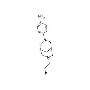 Nc1ccc(N2CC3CC(CN(CCF)C3)C2)cc1